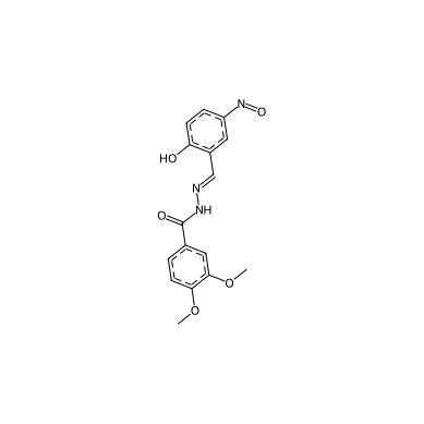 COc1ccc(C(=O)NN=Cc2cc(N=O)ccc2O)cc1OC